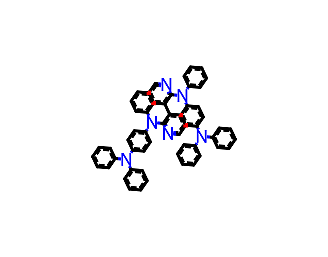 c1ccc(N(c2ccccc2)c2ccc(N(c3ccccc3)c3ncccc3-c3cccnc3N(c3ccccc3)c3ccc(N(c4ccccc4)c4ccccc4)cc3)cc2)cc1